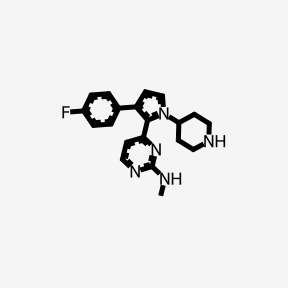 CNc1nccc(-c2c(-c3ccc(F)cc3)ccn2C2CCNCC2)n1